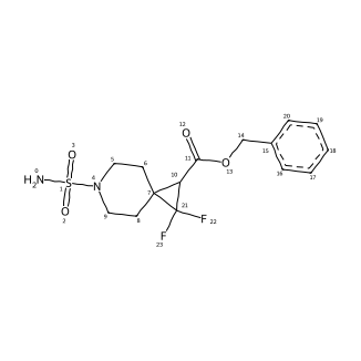 NS(=O)(=O)N1CCC2(CC1)C(C(=O)OCc1ccccc1)C2(F)F